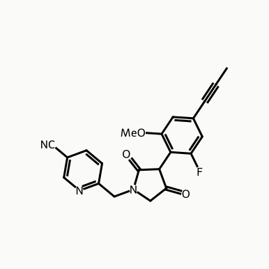 CC#Cc1cc(F)c(C2C(=O)CN(Cc3ccc(C#N)cn3)C2=O)c(OC)c1